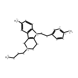 Cc1ccc2c(c1)c1c(n2CCc2ccc(C)nc2)CCN(CCCN)C1